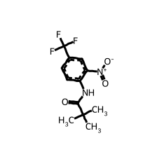 CC(C)(C)C(=O)Nc1ccc(C(F)(F)F)cc1[N+](=O)[O-]